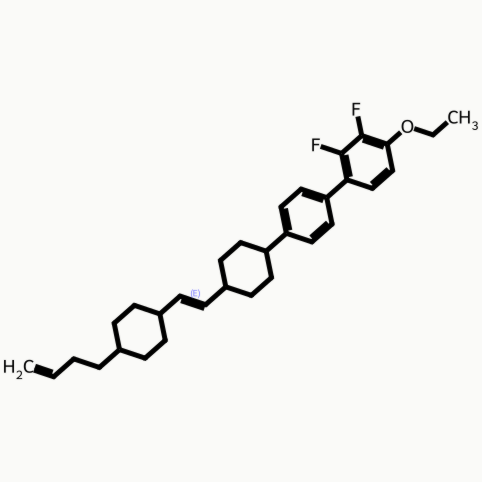 C=CCCC1CCC(/C=C/C2CCC(c3ccc(-c4ccc(OCC)c(F)c4F)cc3)CC2)CC1